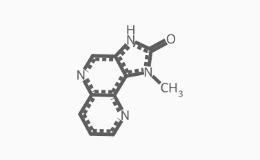 Cn1c(=O)[nH]c2cnc3cccnc3c21